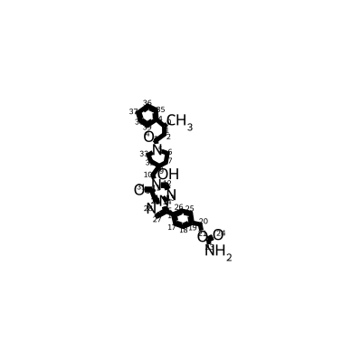 CC(CC(=O)N1CCC(O)(Cn2cnn3c(-c4ccc(COC(N)=O)cc4)cnc3c2=O)CC1)c1ccccc1